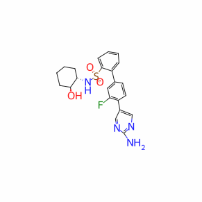 Nc1ncc(-c2ccc(-c3ccccc3S(=O)(=O)N[C@H]3CCCC[C@@H]3O)cc2F)cn1